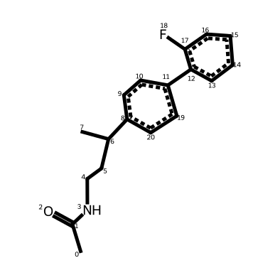 CC(=O)NCCC(C)c1ccc(-c2ccccc2F)cc1